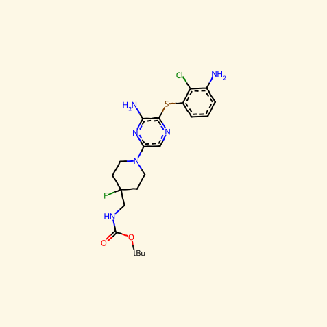 CC(C)(C)OC(=O)NCC1(F)CCN(c2cnc(Sc3cccc(N)c3Cl)c(N)n2)CC1